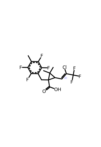 Cc1c(F)c(F)c(CC2(C(=O)O)C(/C=C(\Cl)C(F)(F)F)C2(C)C)c(F)c1F